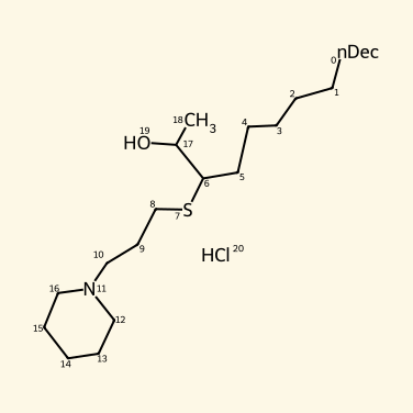 CCCCCCCCCCCCCCCC(SCCCN1CCCCC1)C(C)O.Cl